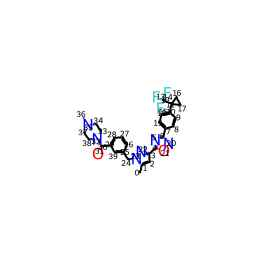 Cc1cc(-c2nc(-c3ccc(C4(C(F)(F)F)CC4)cc3)no2)nn1Cc1cccc(C(=O)N2CCN(C)CC2)c1